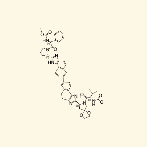 COC(=O)N[C@H](C(=O)N1CC2(C[C@H]1c1nc3c([nH]1)-c1ccc(-c4ccc5c(ccc6nc([C@@H]7CCCN7C(=O)[C@H](NC(=O)OC)c7ccccc7)[nH]c65)c4)cc1CC3)OCCO2)C(C)C